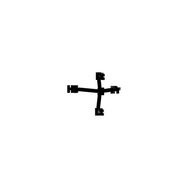 CC[Si](S)(CC)C(C)C